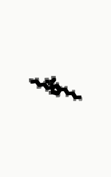 CCCCCC1=C[C](CCCCC)([Zr]([CH3])[CH3])C=C1